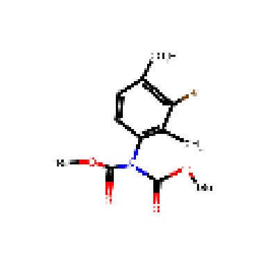 Cc1c(N(C(=O)OC(C)(C)C)C(=O)OC(C)(C)C)ccc(C(=O)O)c1Br